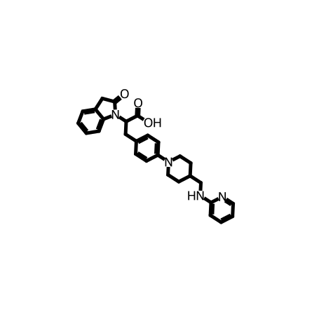 O=C(O)C(Cc1ccc(N2CCC(CNc3ccccn3)CC2)cc1)N1C(=O)Cc2ccccc21